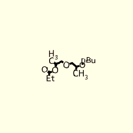 CCCCOC(C)COCC(C)OC(=O)CC